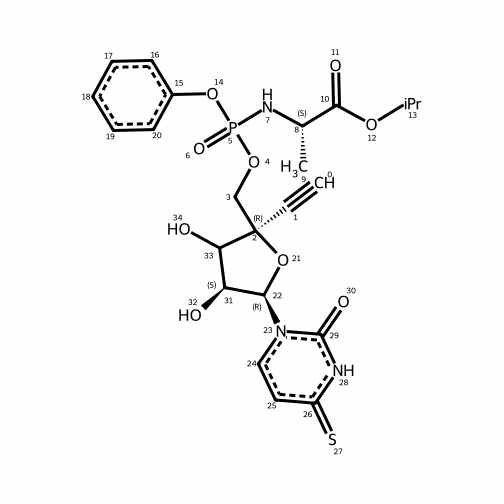 C#C[C@]1(COP(=O)(N[C@@H](C)C(=O)OC(C)C)Oc2ccccc2)O[C@@H](n2ccc(=S)[nH]c2=O)[C@@H](O)C1O